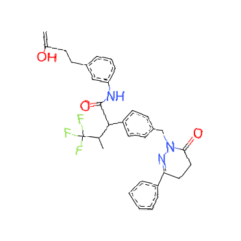 C=C(O)CCc1cccc(NC(=O)C(c2ccc(CN3N=C(c4ccccc4)CCC3=O)cc2)C(C)C(F)(F)F)c1